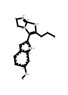 CCCC1=C(c2cc3ccc(OC)cc3s2)N2CCN=C2S1